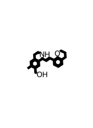 Cc1cc2c(cc1CO)C(/C=C/c1cccc3c1OCCC3)NCC2